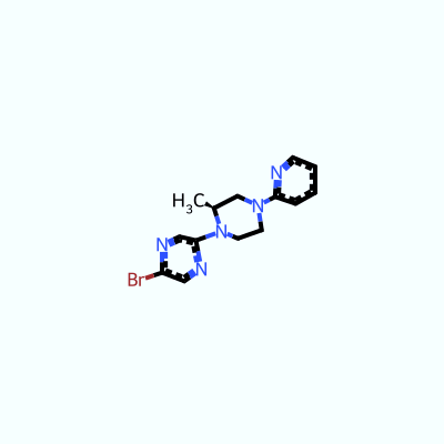 C[C@H]1CN(c2ccccn2)CCN1c1cnc(Br)cn1